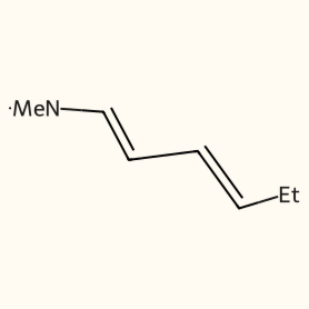 CCC=CC=C[N]C